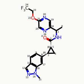 CC(NC(=O)[C@@H]1C[C@H]1c1ccc2cnn(C)c2c1)c1cnc(OCC(F)(F)F)cn1